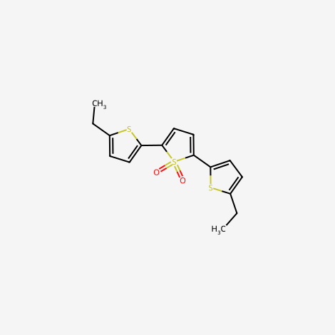 CCc1ccc(C2=CC=C(c3ccc(CC)s3)S2(=O)=O)s1